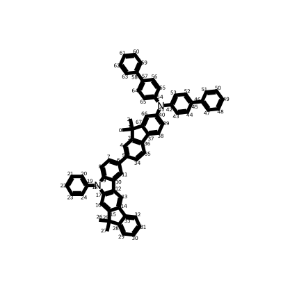 CC1(C)c2cc(-c3ccc4c(c3)c3cc5c(cc3n4-c3ccccc3)C(C)(C)c3ccccc3-5)ccc2-c2ccc(N(c3ccc(-c4ccccc4)cc3)c3ccc(-c4ccccc4)cc3)cc21